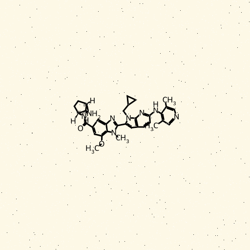 COc1cc(C(=O)N2C[C@H]3CC[C@@H]2[C@@H]3N)cc2nc(-c3cc4ccc(Nc5c(C)cncc5C)nc4n3CC3CC3)n(C)c12